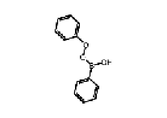 OB(OOc1ccccc1)c1ccccc1